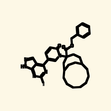 O=C(OCc1ccccc1)C1(n2cc(-c3nc(I)nc4[nH]ncc34)ccc2=O)CCC2CCCCCCCC(CC2)C1